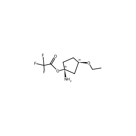 CCO[C@@H]1CC[C@@](N)(OC(=O)C(F)(F)F)C1